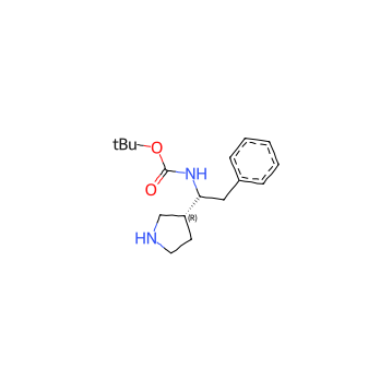 CC(C)(C)OC(=O)NC(Cc1ccccc1)[C@@H]1CCNC1